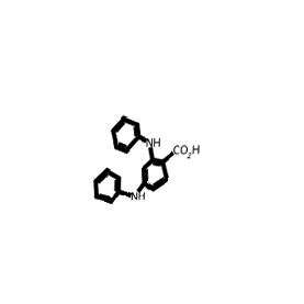 O=C(O)c1ccc(Nc2ccccc2)cc1Nc1ccccc1